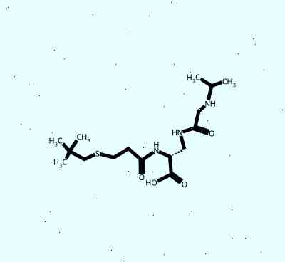 CC(C)NCC(=O)NC[C@@H](NC(=O)CCSCC(C)(C)C)C(=O)O